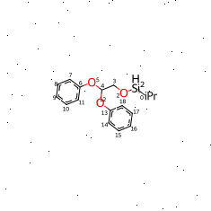 CC(C)[SiH2]OCC(Oc1ccccc1)Oc1ccccc1